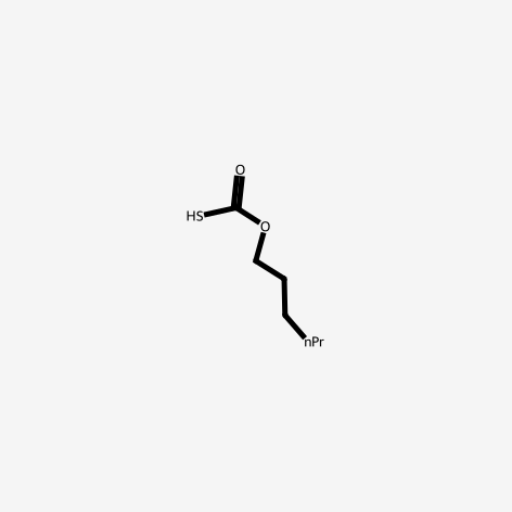 CCCCCCOC(=O)S